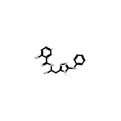 CCCC(Cc1nnc(Nc2ccccc2)[se]1)NC(=O)c1ccccc1O